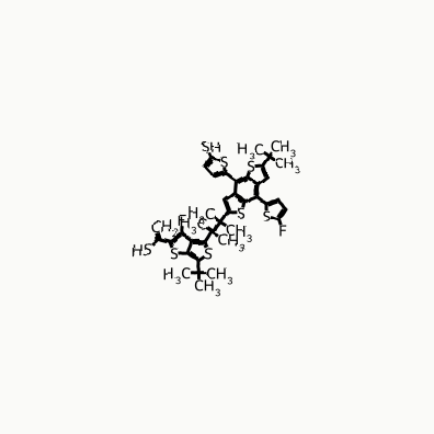 C=C(S)c1sc2c(C(C)(C)C)sc(C(C)(C)C(C)(C)c3cc4c(-c5ccc(S)s5)c5sc(C(C)(C)C)cc5c(-c5ccc(F)s5)c4s3)c2c1F